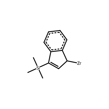 C[Si](C)(C)C1=C[CH]([Zr])c2ccccc21